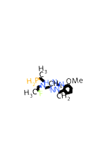 C=C1c2cccc(OC)c2N=C(N)N1/N=C(\C)CN(CC(C)F)CC(C)P